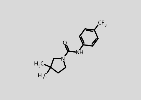 CC1(C)CCN(C(=O)Nc2ccc(C(F)(F)F)cc2)C1